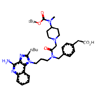 CCCCc1nc2c(N)nc3ccccc3c2n1CCCN(Cc1ccc(CC(=O)O)cc1)C(=O)CN1CCC(N(C)C(=O)OC(C)(C)C)CC1